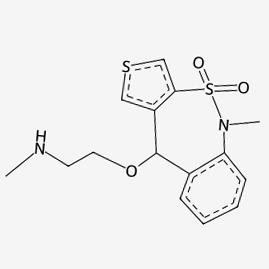 CNCCOC1c2ccccc2N(C)S(=O)(=O)c2cscc21